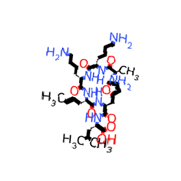 C/C=C/C[C@H](NC(=O)[C@H](CCCCN)NC(=O)[C@H](CCCCN)NC(=O)[C@H](C)N)C(=O)N[C@@H](Cc1ccco1)C(=O)N[C@@H](CC(C)C)C(=O)O